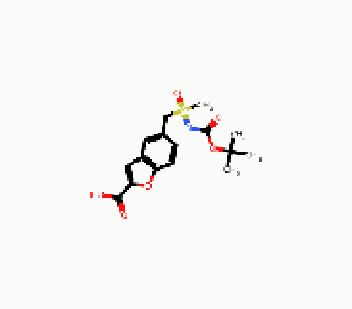 CC(C)(C)OC(=O)N=S(C)(=O)Cc1ccc2oc(C(=O)O)cc2c1